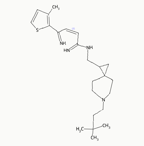 Cc1ccsc1C(=N)/C=C\C(=N)NCC1CC12CCN(CCC(C)(C)C)CC2